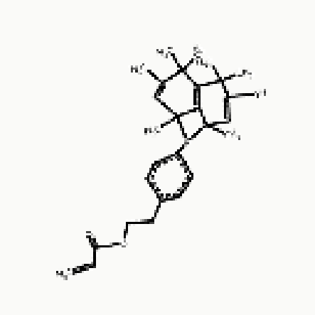 C=CC(=O)OCCc1ccc(N2C3(C)C=C(C)C(C)(C)C4=C3C2(C)C=C(S)C4(C)C)cc1